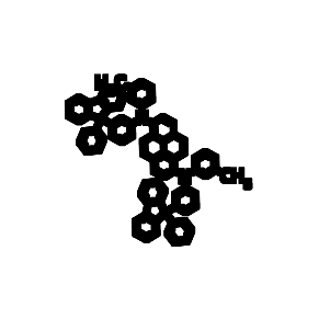 Cc1cccc(N(C2=C3C=Cc4ccc(N(c5cccc(C)c5)c5cccc(C6(c7ccccc7)c7ccccc7-c7ccccc76)c5)c5c4C3C(C=C2)C=C5)c2cccc(C3(c4ccccc4)c4ccccc4-c4ccccc43)c2)c1